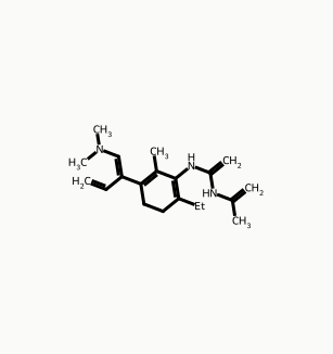 C=C/C(=C\N(C)C)C1=C(C)C(NC(=C)NC(=C)C)=C(CC)CC1